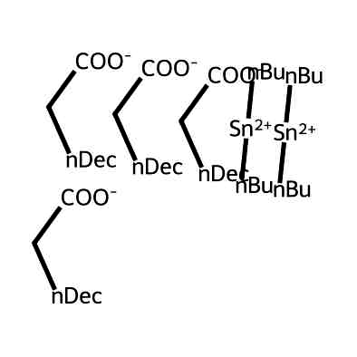 CCCCCCCCCCCC(=O)[O-].CCCCCCCCCCCC(=O)[O-].CCCCCCCCCCCC(=O)[O-].CCCCCCCCCCCC(=O)[O-].CCC[CH2][Sn+2][CH2]CCC.CCC[CH2][Sn+2][CH2]CCC